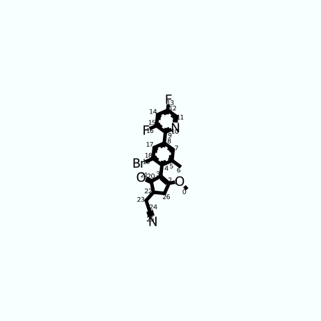 COC1=C(c2c(C)cc(-c3ncc(F)cc3F)cc2Br)C(=O)C(CC#N)C1